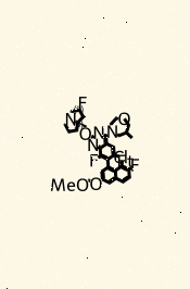 CCc1c(F)ccc2cc(OCOC)cc(-c3c(Cl)cc4c(N5CCOCC(C)C5)nc(OC[C@@]56CCCN5C[C@H](F)C6)nc4c3F)c12